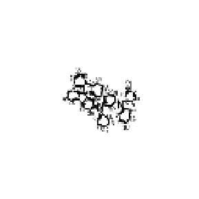 Clc1cccc(N(c2ccccc2)c2cccc(N(c3ccccc3)c3ccc4c(c3)C3(c5ccccc5-c5ccccc53)c3ccccc3-4)c2)c1